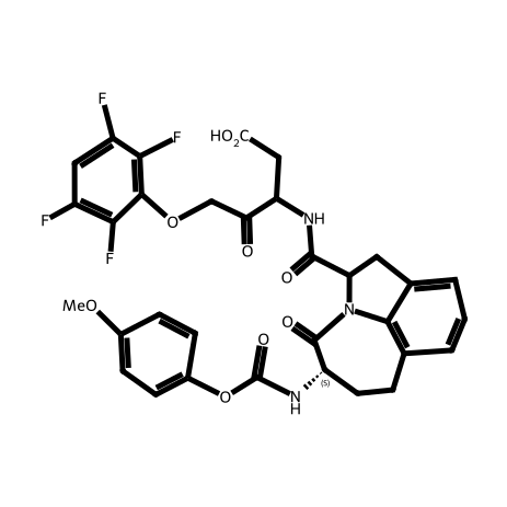 COc1ccc(OC(=O)N[C@H]2CCc3cccc4c3N(C2=O)C(C(=O)NC(CC(=O)O)C(=O)COc2c(F)c(F)cc(F)c2F)C4)cc1